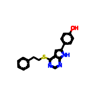 Oc1ccc(-c2cc3c(SCCc4ccccc4)ncnc3[nH]2)cc1